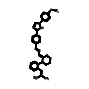 CC(C)=Cc1ccccc1N1CCCS/C1=N\N=C\c1ccc(C2N=CN(c3ccc(OC(F)(F)F)cc3)N2)cc1